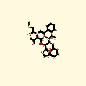 COCC(=O)N1C=C(c2ccccc2)N(N(C(C)=O)[C@@H](Cc2ccccc2)C(O)C2=NCCO2)C(=O)C1C(C)C